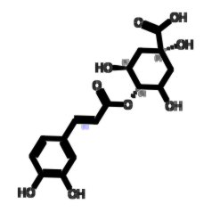 O=C(/C=C/c1ccc(O)c(O)c1)O[C@H]1C(O)C[C@](O)(C(=O)O)C[C@@H]1O